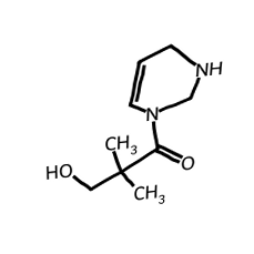 CC(C)(CO)C(=O)N1C=CCNC1